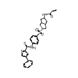 C=CC(=O)NC1CC2CN(S(=O)(=O)c3ccc(NC(=O)c4cc(-c5ccccc5)cs4)cc3)CC2C1